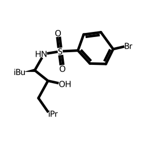 CC[C@H](C)C(NS(=O)(=O)c1ccc(Br)cc1)C(O)CC(C)C